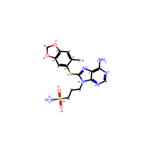 Nc1ncnc2c1nc(Sc1cc3c(cc1I)OCO3)n2CCCS(N)(=O)=O